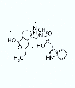 CCCCc1c(C(=O)O)ccc(N)c1CN(C)C(=O)[C@H](O)Cc1c[nH]c2ccccc12